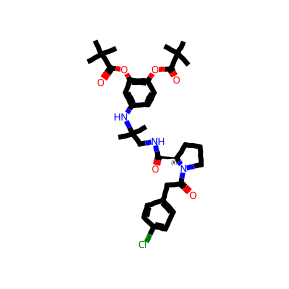 CC(C)(CNC(=O)[C@H]1CCCN1C(=O)Cc1ccc(Cl)cc1)Nc1ccc(OC(=O)C(C)(C)C)c(OC(=O)C(C)(C)C)c1